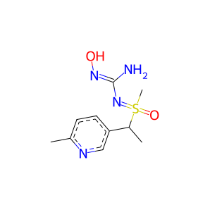 Cc1ccc(C(C)S(C)(=O)=N/C(N)=N/O)cn1